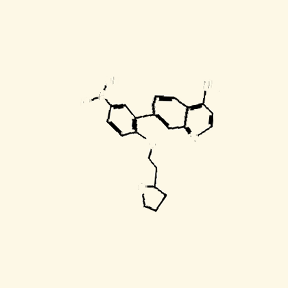 Nc1ccnc2cc(-c3cc(B(O)O)ccc3OCCC3CCCO3)ccc12